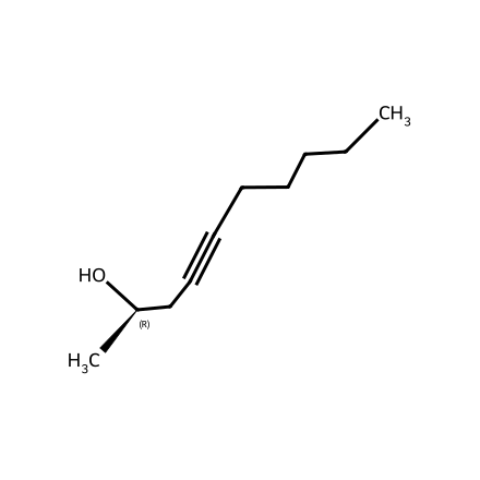 CCCCCC#CC[C@@H](C)O